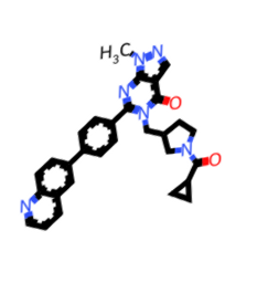 Cn1ncc2c(=O)n(CC3CCN(C(=O)C4CC4)C3)c(-c3ccc(-c4ccc5ncccc5c4)cc3)nc21